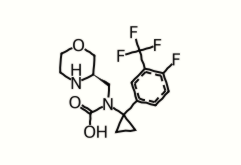 O=C(O)N(C[C@@H]1COCCN1)C1(c2ccc(F)c(C(F)(F)F)c2)CC1